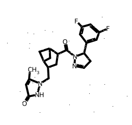 Cc1cc(=O)[nH]n1CC1CC(C(=O)N2N=CCC2c2cc(F)cc(F)c2)C2CC1C2